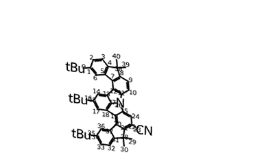 CC(C)(C)c1ccc2c(c1)-c1c(ccc3c1c1cc(C(C)(C)C)cc4c5c6c(c(C#N)cc5n3c14)C(C)(C)c1ccc(C(C)(C)C)cc1-6)C2(C)C